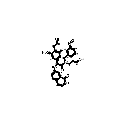 Cc1cc(C(Nc2ccc3cc[nH]c(=O)c3c2)C(=O)N(CCC=O)Cc2cccc(N=O)c2)cc(C)c1CCO